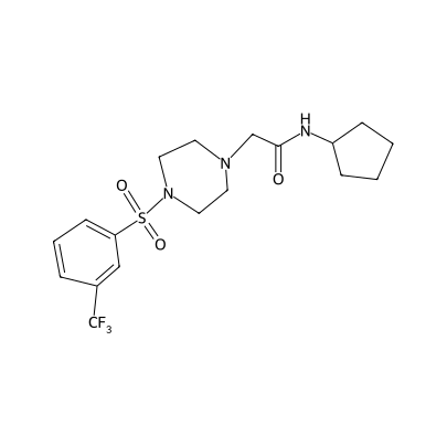 O=C(CN1CCN(S(=O)(=O)c2cccc(C(F)(F)F)c2)CC1)NC1CCCC1